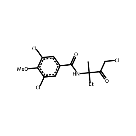 CCC(C)(NC(=O)c1cc(Cl)c(OC)c(Cl)c1)C(=O)CCl